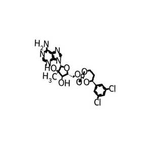 C[C@@]1(O)[C@H](O)[C@@H](COP2(=O)OCC[C@@H](c3cc(Cl)cc(Cl)c3)O2)O[C@H]1n1cnc2c(N)ncnc21